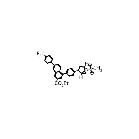 CCOC(=O)c1cc(-c2ccc([C@H]3C[C@H]4C[C@@H]3CN4S(C)(=O)=O)cc2)c2ccc(-c3ccc(C(F)(F)F)cc3)cc2c1